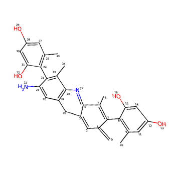 C=c1cc2c(c(C)c1-c1c(C)cc(O)cc1O)=Nc1c(cc(N)c(-c3c(C)cc(O)cc3O)c1C)C2